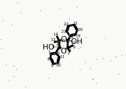 CC1(C)O[C@@](O)(c2ccccc2)C(C)(C)O[C@@]1(O)c1ccccc1